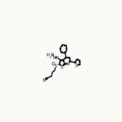 N#CCCC[S+]([O-])c1sc2nc(-c3cccs3)cc(-c3ccccc3)c2c1N=NN